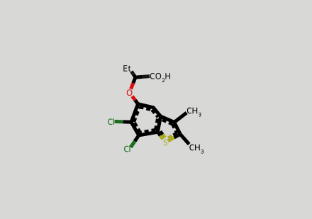 CCC(Oc1cc2c(C)c(C)sc2c(Cl)c1Cl)C(=O)O